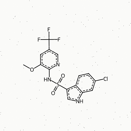 COc1cc(C(F)(F)F)cnc1NS(=O)(=O)c1c[nH]c2cc(Cl)ccc12